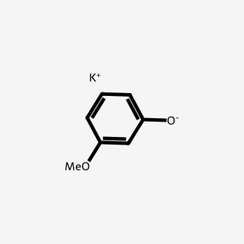 COc1cccc([O-])c1.[K+]